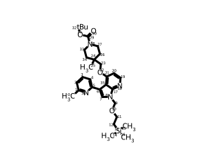 Cc1cccc(-c2cn(COCC[Si](C)(C)C)c3nccc(OCC4(C)CCN(C(=O)OC(C)(C)C)CC4)c23)n1